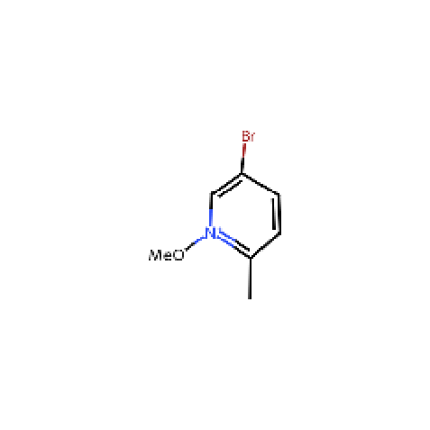 CO[n+]1cc(Br)ccc1C